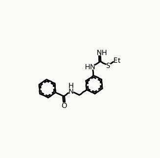 CCSC(=N)Nc1cccc(CNC(=O)c2ccccc2)c1